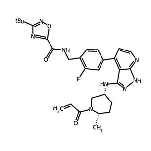 C=CC(=O)N1C[C@H](Nc2n[nH]c3nccc(-c4ccc(CNC(=O)c5nc(C(C)(C)C)no5)c(F)c4)c23)CC[C@@H]1C